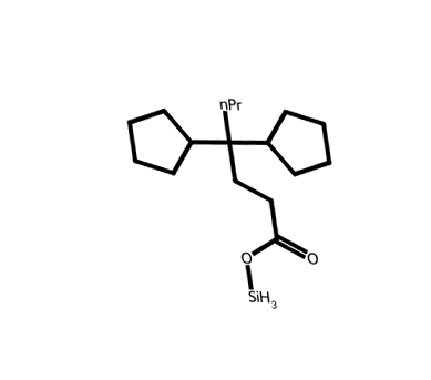 CCCC(CCC(=O)O[SiH3])(C1CCCC1)C1CCCC1